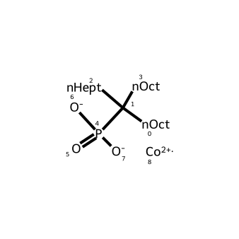 CCCCCCCCC(CCCCCCC)(CCCCCCCC)P(=O)([O-])[O-].[Co+2]